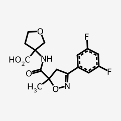 CC1(C(=O)NC2(C(=O)O)CCOC2)CC(c2cc(F)cc(F)c2)=NO1